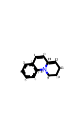 C1=Cc2ccccc2N2CCCC=C12